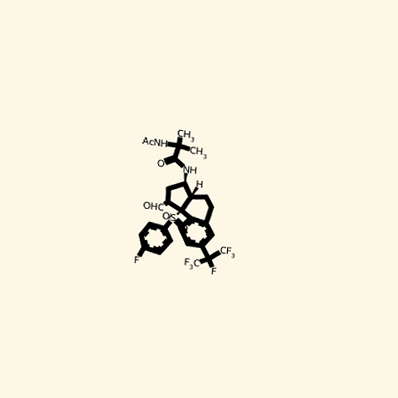 CC(=O)NC(C)(C)C(=O)N[C@@H]1CC(C=O)[C@]2(S(=O)(=O)c3ccc(F)cc3)c3ccc(C(F)(C(F)(F)F)C(F)(F)F)cc3CC[C@@H]12